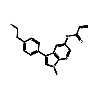 C=CC(=O)Nc1cnc2c(c1)c(-c1ccc(CCC)cc1)cn2C